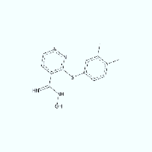 Cc1ccc(Sc2nnccc2C(=N)NO)cc1C